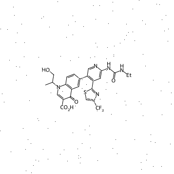 CCNC(=O)Nc1cc(-c2nc(C(F)(F)F)cs2)c(-c2ccc3c(c2)c(=O)c(C(=O)O)cn3C(C)CO)cn1